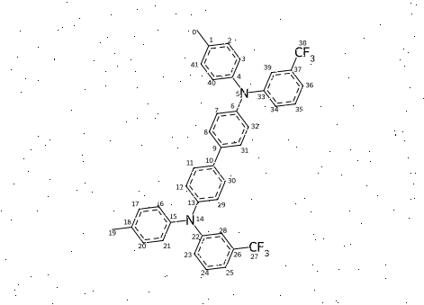 Cc1ccc(N(c2ccc(-c3ccc(N(c4ccc(C)cc4)c4cccc(C(F)(F)F)c4)cc3)cc2)c2cccc(C(F)(F)F)c2)cc1